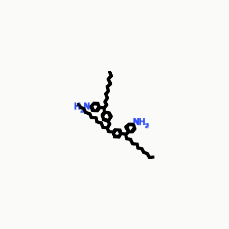 CCCCCCCCCCC(Cc1ccc(C(CCCCCCCCCC)c2ccc(N)cc2)cc1)Cc1ccc(C(CCCCCCCCCC)c2ccc(N)cc2)cc1